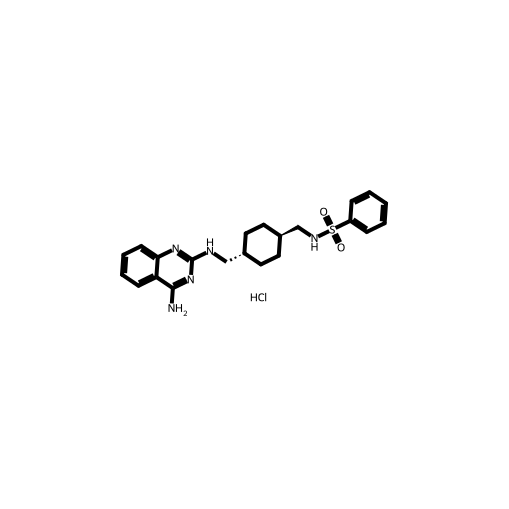 Cl.Nc1nc(NC[C@H]2CC[C@H](CNS(=O)(=O)c3ccccc3)CC2)nc2ccccc12